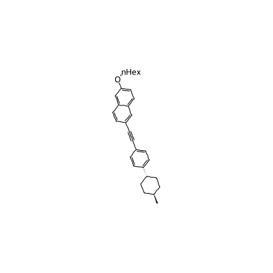 CCCCCCOc1ccc2cc(C#Cc3ccc([C@H]4CC[C@H](C)CC4)cc3)ccc2c1